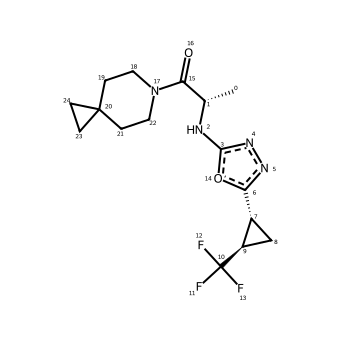 C[C@H](Nc1nnc([C@@H]2C[C@H]2C(F)(F)F)o1)C(=O)N1CCC2(CC1)CC2